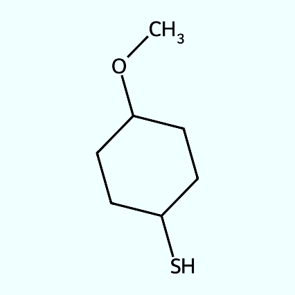 COC1CCC(S)CC1